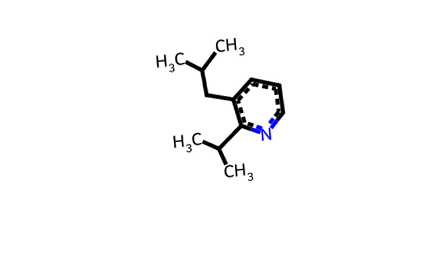 CC(C)Cc1cccnc1C(C)C